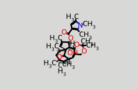 CC1=C[C@]23C(=O)[C@@H](C=C4COC(C)(C)O[C@H]4[C@]2(O)[C@H]1OC(=O)c1cc(C)n(C)c1C)C(C)(C)[C@@H](C)C[C@H]3C